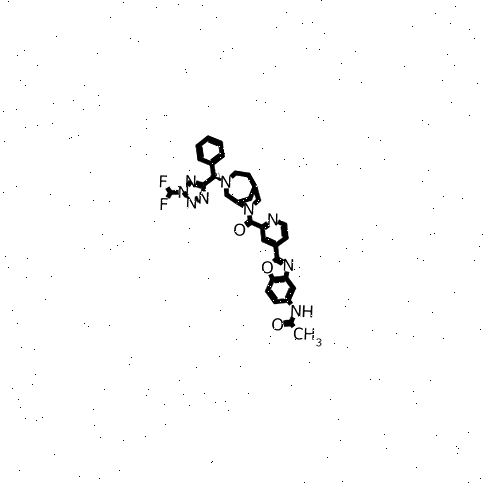 CC(=O)Nc1ccc2oc(-c3ccnc(C(=O)N4CC5CCN([C@H](c6ccccc6)c6nnn(C(F)F)n6)CC4C5)c3)nc2c1